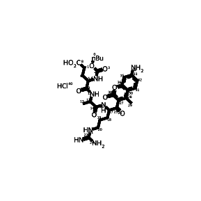 CCCCOC(=O)NC(CCC(=O)O)C(=O)NC(C)C(=O)NC(CCCNC(=N)N)C(=O)c1c(C)c2ccc(N)cc2oc1=O.Cl